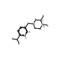 CC(C)c1ccc(CN2CCN(C)C(C)C2)cn1